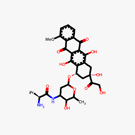 COc1cccc2c1C(=O)c1c(O)c3c(c(O)c1C2=O)C[C@@](O)(C(=O)CO)C[C@@H]3OC1CC(NC(=O)[C@@H](N)C(C)C)C(O)C(C)O1